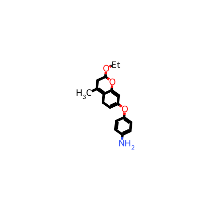 CCOC1CC(C)=C2CC=C(Oc3ccc(N)cc3)C=C2O1